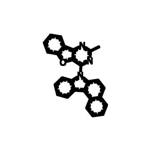 Cc1nc(-n2c3ccccc3c3c4ccccc4ccc32)c2oc3ccccc3c2n1